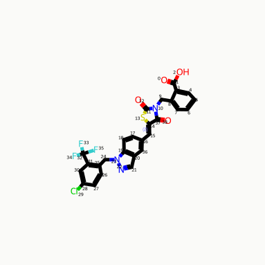 O=C(O)c1ccccc1CN1C(=O)S/C(=C\c2ccc3c(cnn3Cc3ccc(Cl)cc3C(F)(F)F)c2)C1=O